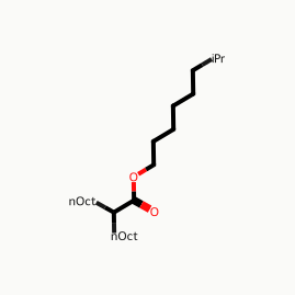 CCCCCCCCC(CCCCCCCC)C(=O)OCCCCCCC(C)C